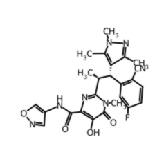 Cc1nn(C)c(C)c1[C@H](c1cc(F)ccc1C#N)[C@H](C)c1nc(C(=O)Nc2cnoc2)c(O)c(=O)n1C